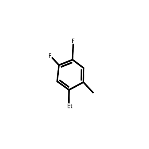 [CH2]Cc1cc(F)c(F)cc1C